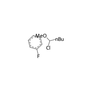 CCCCC(Cl)OC.Fc1ccccc1